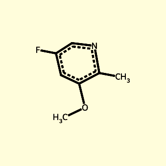 COc1cc(F)cnc1C